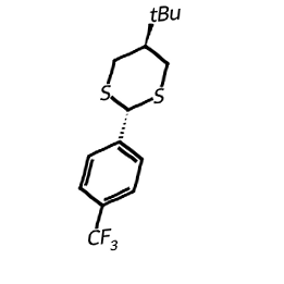 CC(C)(C)[C@H]1CS[C@H](c2ccc(C(F)(F)F)cc2)SC1